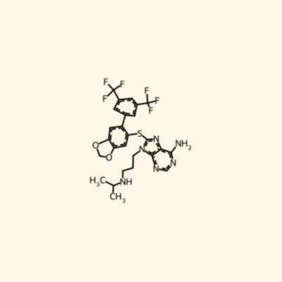 CC(C)NCCCn1c(Sc2cc3c(cc2-c2cc(C(F)(F)F)cc(C(F)(F)F)c2)OCO3)nc2c(N)ncnc21